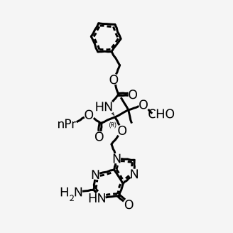 CCCOC(=O)[C@](NC(=O)OCc1ccccc1)(OCn1cnc2c(=O)[nH]c(N)nc21)C(C)(C)OC=O